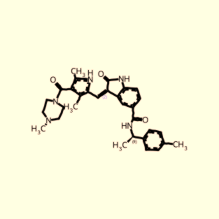 Cc1ccc([C@@H](C)NC(=O)c2ccc3c(c2)/C(=C/c2[nH]c(C)c(C(=O)N4CCN(C)CC4)c2C)C(=O)N3)cc1